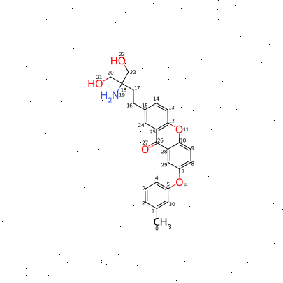 Cc1cccc(Oc2ccc3oc4ccc(CCC(N)(CO)CO)cc4c(=O)c3c2)c1